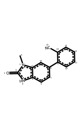 Cn1c(=O)[nH]c2ccc(-c3ccccc3C#N)cc21